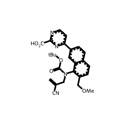 C=C(C#N)CN(C(=O)OC(C)(C)C)c1c(COC)ccc2ccc(-c3ccnc(C(=O)O)n3)cc12